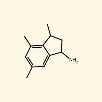 Cc1cc(C)c2c(c1)C(N)CC2C